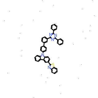 c1ccc(-c2nc(-c3ccccc3)nc(-c3cccc(-c4ccc(-n5c6ccccc6c6cc(-c7nc8ccccc8s7)ccc65)cc4)c3)n2)cc1